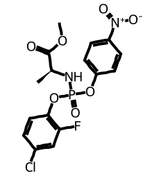 COC(=O)[C@H](C)NP(=O)(Oc1ccc([N+](=O)[O-])cc1)Oc1ccc(Cl)cc1F